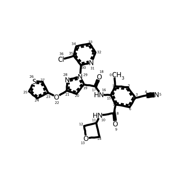 Cc1cc(C#N)cc(C(=O)NC2COC2)c1NC(=O)c1cc(Oc2ccsc2)nn1-c1ncccc1Cl